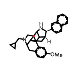 COc1ccc2c(c1)C13CCN(CC4CC4)C(C2)C12CCC1N[C@@H](c4ccc5ccccc5c4)[C@@H](C2)C13